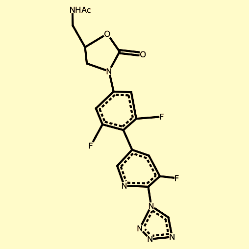 CC(=O)NCC1CN(c2cc(F)c(-c3cnc(-n4cnnn4)c(F)c3)c(F)c2)C(=O)O1